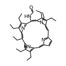 CCC1=C(CC)c2nc1c(CC)c1[nH]c(cc3nc(cc4c(CC)c(CC)c(c2NC=O)n4CC)C=C3)c(CC)c1CC